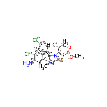 COC(=O)C1=C(C(C)C)N2C(=N[C@@](C)(c3ccc(Cl)c(N)c3)[C@H]2c2ccc(Cl)cc2)S1